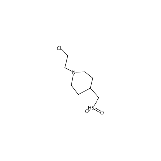 O=[SH](=O)CC1CCN(CCCl)CC1